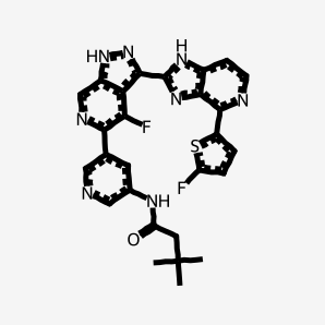 CC(C)(C)CC(=O)Nc1cncc(-c2ncc3[nH]nc(-c4nc5c(-c6ccc(F)s6)nccc5[nH]4)c3c2F)c1